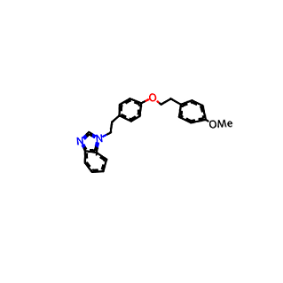 COc1ccc(CCOc2ccc(CCn3cnc4ccccc43)cc2)cc1